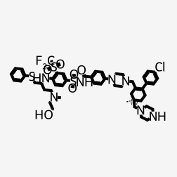 CN(CCO)CCC(CSc1ccccc1)Nc1ccc(S(=O)(=O)NC(=O)c2ccc(N3CCN(CC4=C(c5ccc(Cl)cc5)CC[C@@](C)(CN5CCNCC5)C4)CC3)cc2)cc1S(=O)(=O)C(F)(F)F